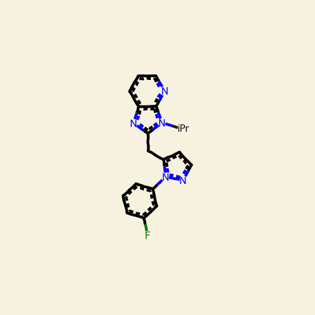 CC(C)n1c(Cc2ccnn2-c2cccc(F)c2)nc2cccnc21